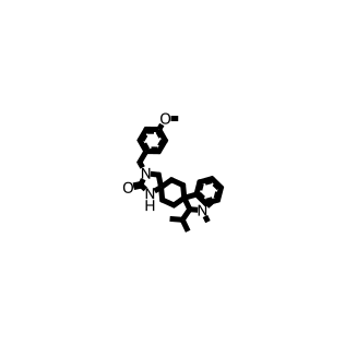 COc1ccc(CN2CC3(CCC(c4ccccc4)(C(C(C)C)N(C)C)CC3)NC2=O)cc1